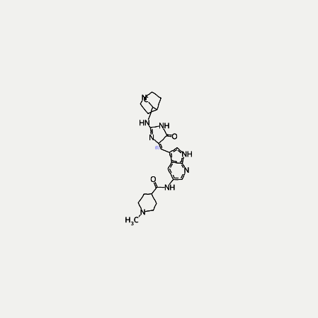 CN1CCC(C(=O)Nc2cnc3[nH]cc(/C=C4/N=C(NC5CN6CCC5CC6)NC4=O)c3c2)CC1